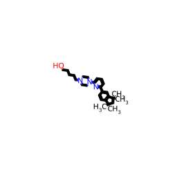 CC1(C)CC(C)(C)c2cc(-c3cccc(N4CCN(CCCCCO)CC4)n3)ccc21